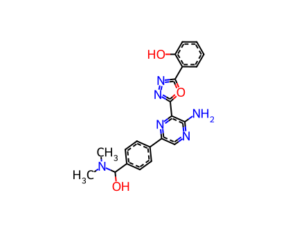 CN(C)C(O)c1ccc(-c2cnc(N)c(-c3nnc(-c4ccccc4O)o3)n2)cc1